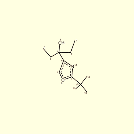 CCC(O)(CC)c1coc(C(C)(C)C)n1